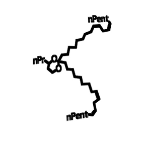 CCCCC/C=C\C/C=C\CCCCCCCCC1(CCCCCCCC/C=C\C/C=C\CCCCC)OCCC(CCC)O1